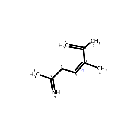 C=C(C)/C(C)=C\CC(C)=N